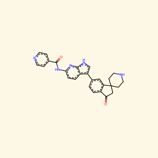 O=C(Nc1ccc2c(-c3ccc4c(c3)C3(CCNCC3)CC4=O)c[nH]c2n1)c1ccncc1